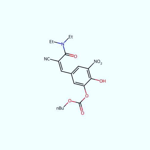 CCCCOC(=O)Oc1cc(C=C(C#N)C(=O)N(CC)CC)cc([N+](=O)[O-])c1O